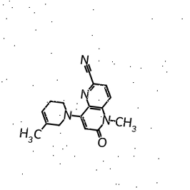 CC1=CCCN(c2cc(=O)n(C)c3ccc(C#N)nc23)C1